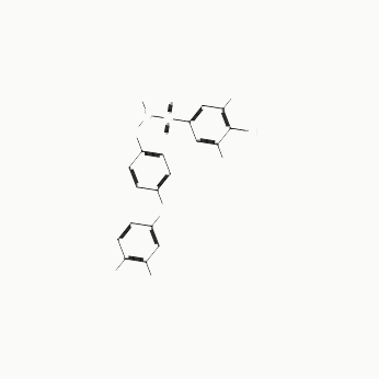 CCN(Sc1ccc(Oc2ccc(F)c(C)c2)cc1)S(=O)(=O)c1cc(C)c(C)c(C(=O)O)c1